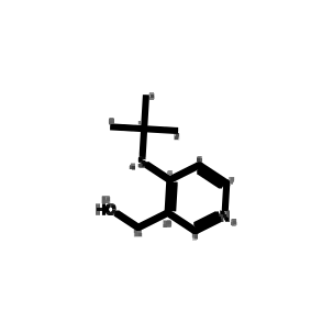 CC(C)(C)Sc1ccncc1CO